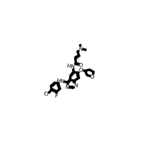 CN(C)C/C=C/C(=O)Nc1cc2c(Nc3ccc(Cl)c(F)c3)ncnc2cc1OC1CCOC1